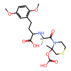 COc1ccc(OC)c(CCC(N[C@@H](C)C(=O)N2CCSCC2(C)OC(=O)O)C(=O)O)c1